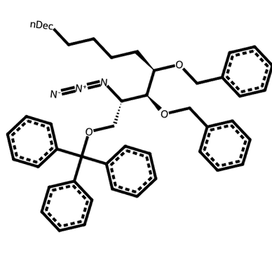 CCCCCCCCCCCCCC[C@@H](OCc1ccccc1)[C@@H](OCc1ccccc1)[C@H](COC(c1ccccc1)(c1ccccc1)c1ccccc1)N=[N+]=[N-]